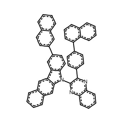 c1ccc2cc(-c3ccc4c(c3)c3cc5ccccc5cc3n4-c3nc4ccccc4nc3-c3ccc(-c4cccc5ccccc45)cc3)ccc2c1